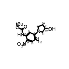 CC(C)(C)OC(=O)Nc1cc(N2CC[C@@H](O)C2)c(I)cc1[N+](=O)[O-]